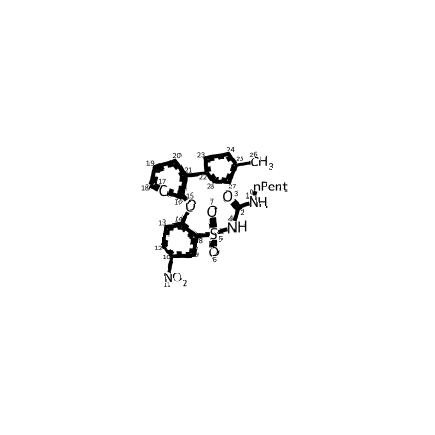 CCCCCNC(=O)NS(=O)(=O)c1cc([N+](=O)[O-])ccc1Oc1ccccc1-c1ccc(C)cc1